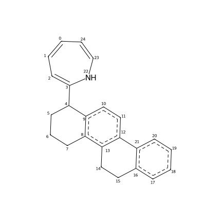 C1=CC=C(C2CCCc3c2ccc2c3CCc3ccccc3-2)NC=C1